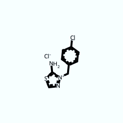 Nc1scn[n+]1Cc1ccc(Cl)cc1.[Cl-]